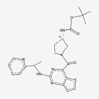 CC(Nc1nc(C(=O)N2CC[C@H](NC(=O)OC(C)(C)C)C2)c2sccc2n1)c1ccccn1